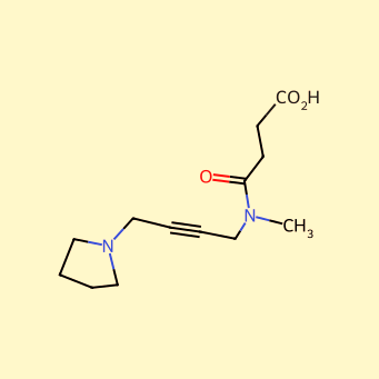 CN(CC#CCN1CCCC1)C(=O)CCC(=O)O